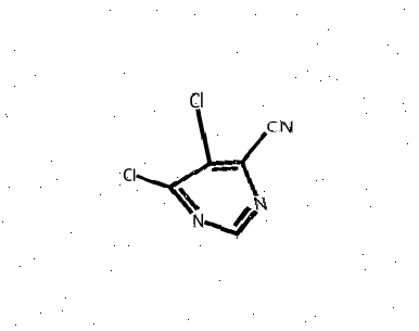 N#Cc1n[c]nc(Cl)c1Cl